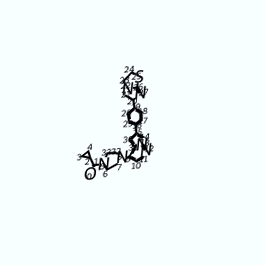 O=C(C1CC1)N1CCN(c2ccnn3cc(-c4ccc(C5CN6CCSC6=N5)cc4)cc23)CC1